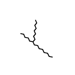 CCCCCCCCC(CCCCC)CCCCCCCC